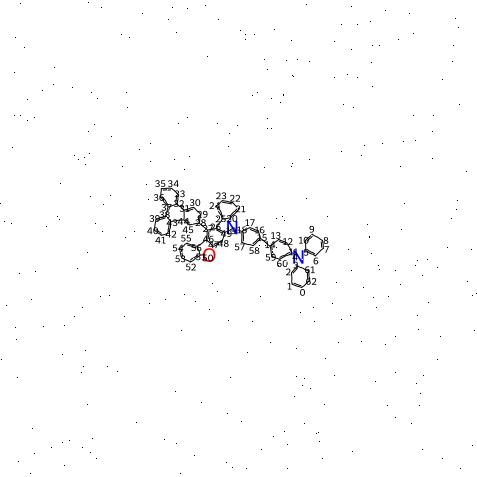 c1ccc(N(c2ccccc2)c2ccc(-c3ccc(-n4c5ccccc5c5c(-c6ccc7c8ccccc8c8ccccc8c7c6)c6c(cc54)oc4ccccc46)cc3)cc2)cc1